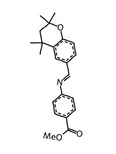 COC(=O)c1ccc(N=Cc2ccc3c(c2)C(C)(C)CC(C)(C)O3)cc1